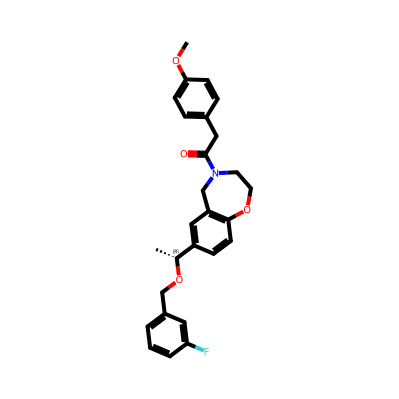 COc1ccc(CC(=O)N2CCOc3ccc([C@@H](C)OCc4cccc(F)c4)cc3C2)cc1